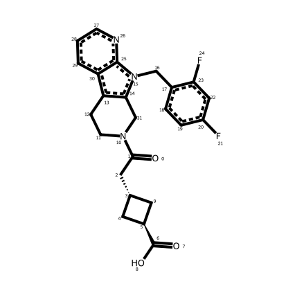 O=C(C[C@H]1C[C@H](C(=O)O)C1)N1CCc2c(n(Cc3ccc(F)cc3F)c3ncccc23)C1